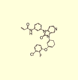 C=CC(=O)Nc1cccc(-n2c(=O)n(C3=CC(Oc4cccc(Cl)c4F)=CCC3)c3cnccc32)c1